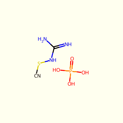 N#CSNC(=N)N.O=P(O)(O)O